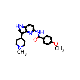 COc1ccc(C(=O)Nc2ccc3[nH]cc(C4CCN(C)CC4)c3n2)cc1